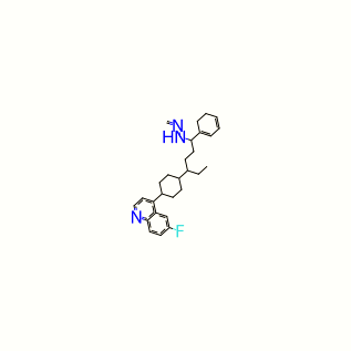 C=NNC(CCC(CC)C1CCC(c2ccnc3ccc(F)cc23)CC1)C1=CC=CCC1